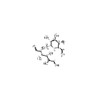 O=C[C@H](O)[C@@H](O)[C@H](O)[C@H](O)CO.OC[C@H]1O[C@H](O)[C@H](O)[C@@H](O)[C@@H]1O